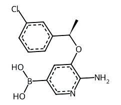 C[C@@H](Oc1cc(B(O)O)cnc1N)c1cccc(Cl)c1